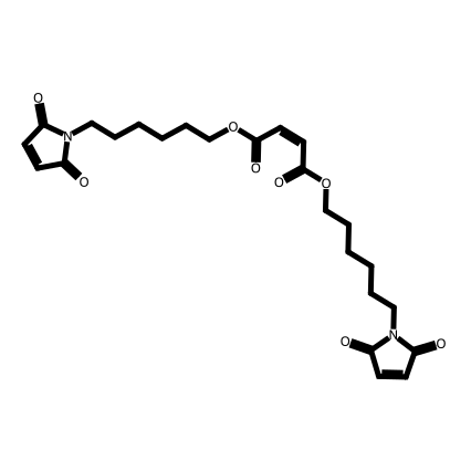 O=C(/C=C\C(=O)OCCCCCCN1C(=O)C=CC1=O)OCCCCCCN1C(=O)C=CC1=O